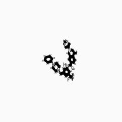 CC1CN(c2cncnc2)Cc2cc(C(=O)Nc3cc(CN4CCN(C5CCCCC5)CC4)cc(C(F)(F)F)c3)ccc21